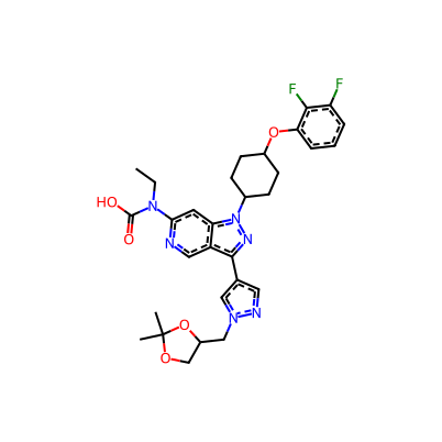 CCN(C(=O)O)c1cc2c(cn1)c(-c1cnn(CC3COC(C)(C)O3)c1)nn2C1CCC(Oc2cccc(F)c2F)CC1